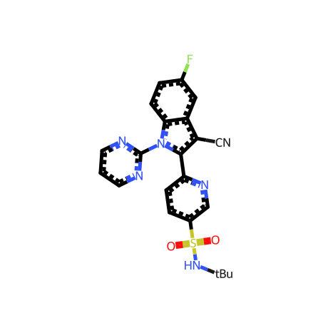 CC(C)(C)NS(=O)(=O)c1ccc(-c2c(C#N)c3cc(F)ccc3n2-c2ncccn2)nc1